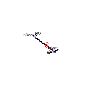 CCCCC/C=C\CCN(CC/C=C\CCCCC)CCOCCOC(=O)CCCCCCCCCN(CCCCCCCCCCCC)CCN=O